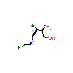 C=C(CO)/C(Br)=C\N=C/CBr